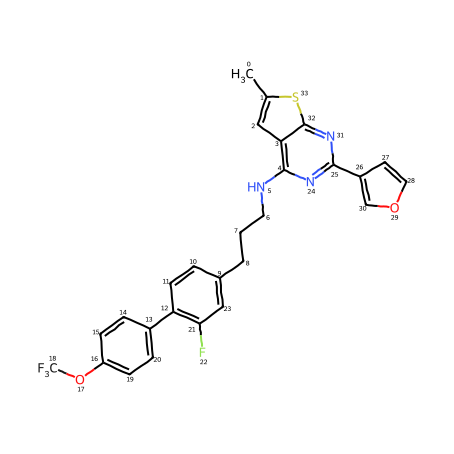 Cc1cc2c(NCCCc3ccc(-c4ccc(OC(F)(F)F)cc4)c(F)c3)nc(-c3ccoc3)nc2s1